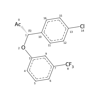 CC(=O)[C@@H](Oc1cccc(C(F)(F)F)c1)c1ccc(Cl)cc1